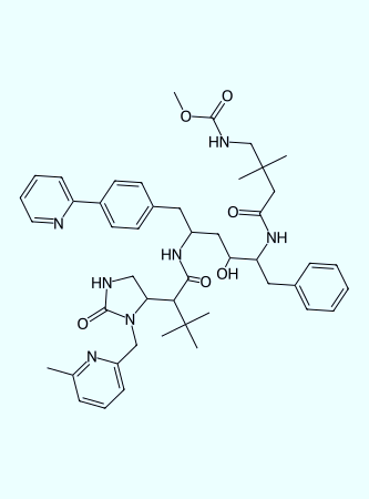 COC(=O)NCC(C)(C)CC(=O)NC(Cc1ccccc1)C(O)CC(Cc1ccc(-c2ccccn2)cc1)NC(=O)C(C1CNC(=O)N1Cc1cccc(C)n1)C(C)(C)C